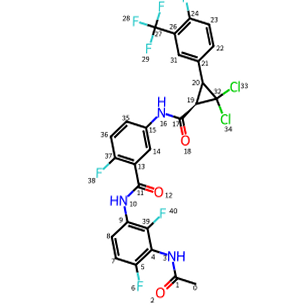 CC(=O)Nc1c(F)ccc(NC(=O)c2cc(NC(=O)[C@H]3C(c4ccc(F)c(C(F)(F)F)c4)C3(Cl)Cl)ccc2F)c1F